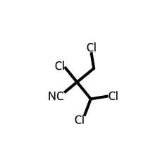 N#CC(Cl)(CCl)C(Cl)Cl